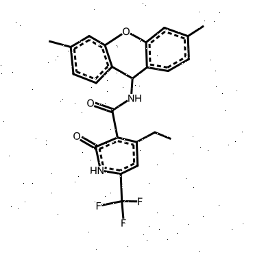 CCc1cc(C(F)(F)F)[nH]c(=O)c1C(=O)NC1c2ccc(C)cc2Oc2cc(C)ccc21